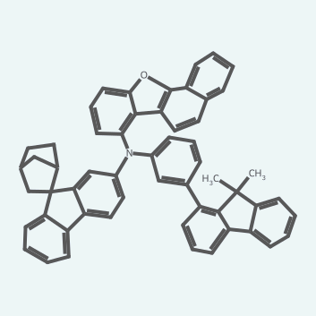 CC1(C)c2ccccc2-c2cccc(-c3cccc(N(c4ccc5c(c4)C4(CC6CCC4C6)c4ccccc4-5)c4cccc5oc6c7ccccc7ccc6c45)c3)c21